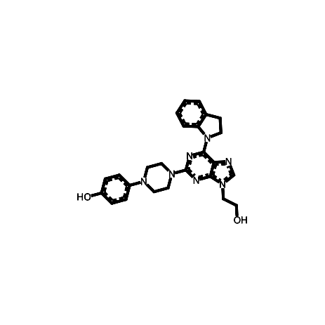 OCCn1cnc2c(N3CCc4ccccc43)nc(N3CCN(c4ccc(O)cc4)CC3)nc21